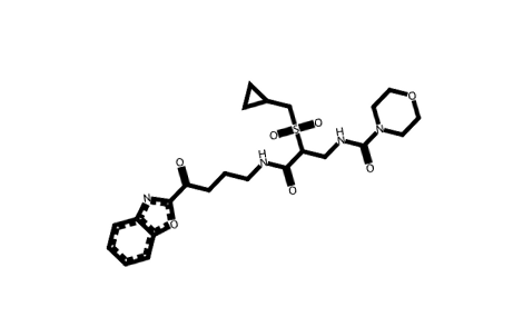 O=C(CCCNC(=O)C(CNC(=O)N1CCOCC1)S(=O)(=O)CC1CC1)c1nc2ccccc2o1